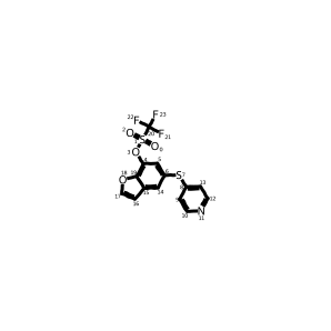 O=S(=O)(Oc1cc(Sc2ccncc2)cc2ccoc12)C(F)(F)F